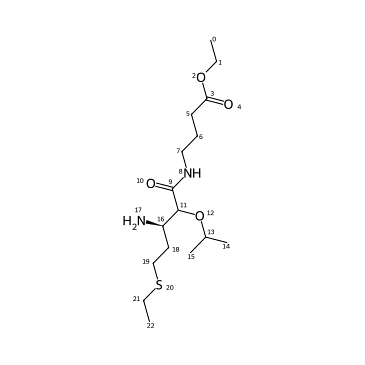 CCOC(=O)CCCNC(=O)C(OC(C)C)[C@H](N)CCSCC